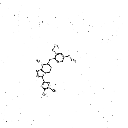 COc1ccc(CN2CCn3c(-c4nc(C)c(C)s4)nnc3[C@@H]2C)c(OC)c1